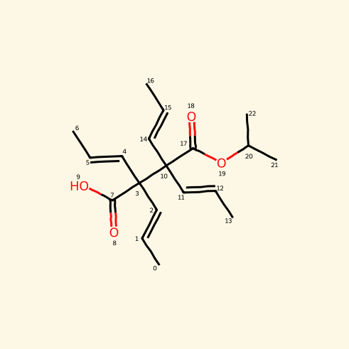 CC=CC(C=CC)(C(=O)O)C(C=CC)(C=CC)C(=O)OC(C)C